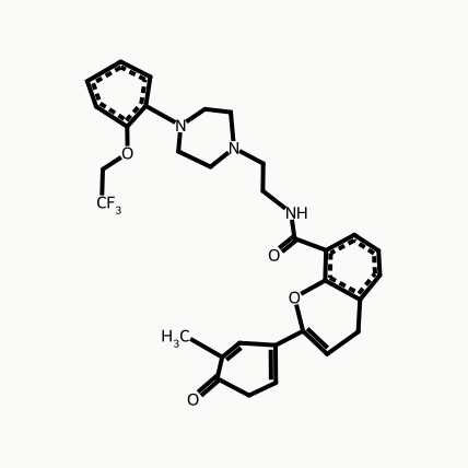 CC1=CC(C2=CCc3cccc(C(=O)NCCN4CCN(c5ccccc5OCC(F)(F)F)CC4)c3O2)=CCC1=O